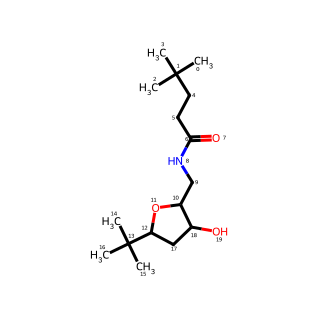 CC(C)(C)CCC(=O)NCC1OC(C(C)(C)C)CC1O